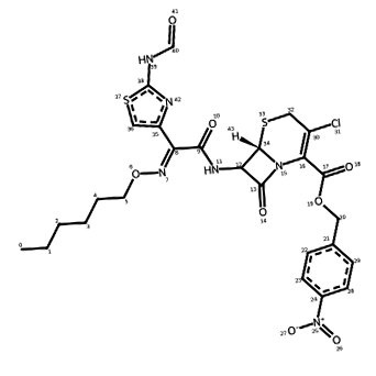 CCCCCCON=C(C(=O)NC1C(=O)N2C(C(=O)OCc3ccc([N+](=O)[O-])cc3)=C(Cl)CS[C@@H]12)c1csc(NC=O)n1